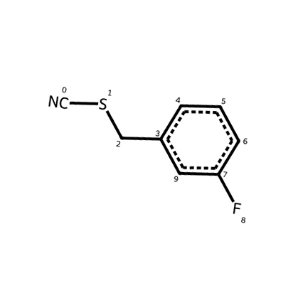 N#CSCc1cccc(F)c1